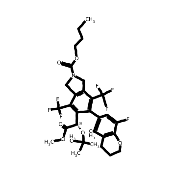 CCCCOC(=O)N1Cc2c(c(C(F)(F)F)c([C@H](OC(C)(C)C)C(=O)OC)c(-c3cc(F)c4c(c3C)CCCO4)c2C(F)(F)F)C1